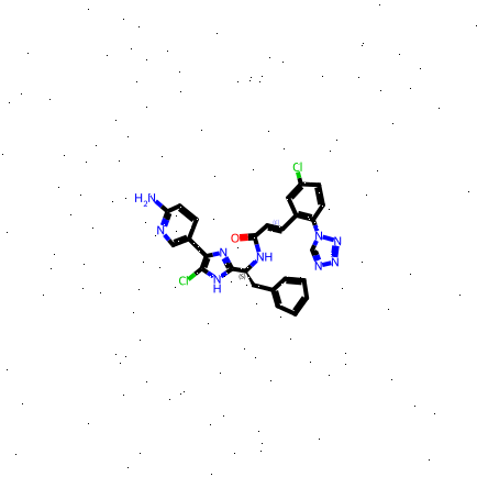 Nc1ccc(-c2nc([C@H](Cc3ccccc3)NC(=O)/C=C/c3cc(Cl)ccc3-n3cnnn3)[nH]c2Cl)cn1